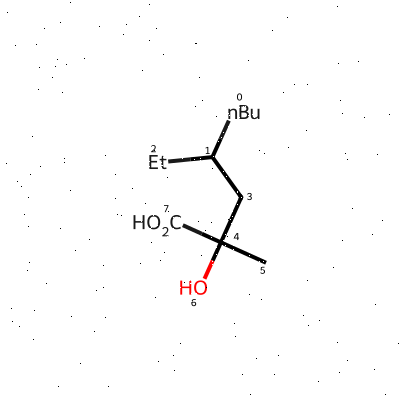 CCCCC(CC)CC(C)(O)C(=O)O